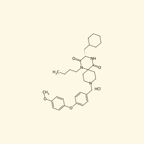 CCCCN1C(=O)[C@H](CC2CCCCC2)NC(=O)C12CCN(Cc1ccc(Oc3ccc(OC)cc3)cc1)CC2.Cl